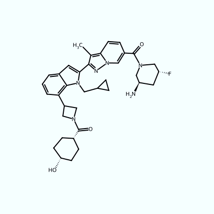 Cc1c(-c2cc3cccc(C4CN(C(=O)[C@H]5CC[C@@H](O)CC5)C4)c3n2CC2CC2)nn2cc(C(=O)N3C[C@H](N)C[C@@H](F)C3)ccc12